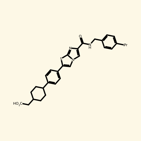 CC(C)c1ccc(CNC(=O)c2cn3cc(-c4ccc(C5CCC(CC(=O)O)CC5)cc4)sc3n2)cc1